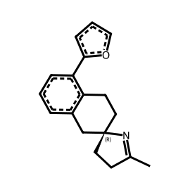 CC1=N[C@@]2(CC1)CCc1c(cccc1-c1ccco1)C2